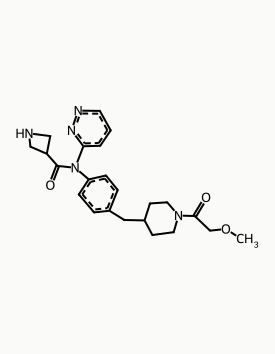 COCC(=O)N1CCC(Cc2ccc(N(C(=O)C3CNC3)c3cccnn3)cc2)CC1